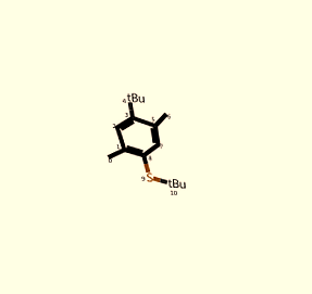 Cc1cc(C(C)(C)C)c(C)cc1SC(C)(C)C